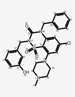 CN1CCN(c2cc(Cl)cc3c2S(=O)(=O)N(Cc2cccc(O)c2)C(=O)N3Cc2ccccc2)CC1